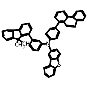 CC1(C)c2ccccc2-c2cccc(-c3cccc(N(c4ccc(-c5cccc6c5ccc5ccccc56)cc4)c4ccc5sc6ccccc6c5c4)c3)c21